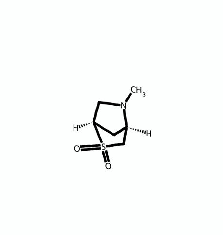 CN1C[C@H]2C[C@@H]1CS2(=O)=O